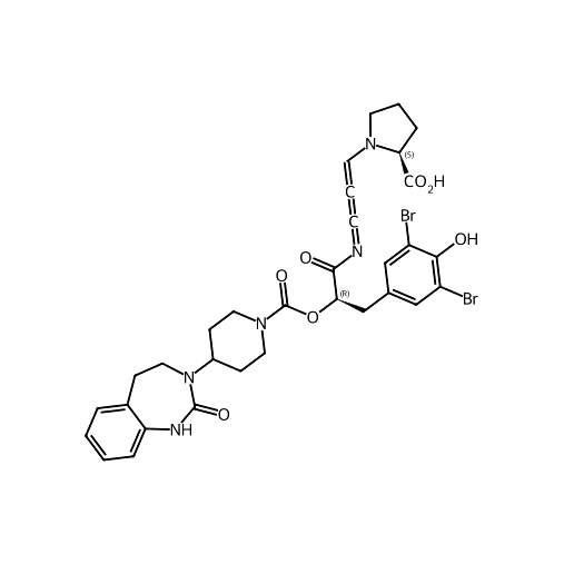 O=C(N=C=C=CN1CCC[C@H]1C(=O)O)[C@@H](Cc1cc(Br)c(O)c(Br)c1)OC(=O)N1CCC(N2CCc3ccccc3NC2=O)CC1